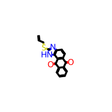 C=CCSc1nc2ccc3c(c2[nH]1)C(=O)c1ccccc1C3=O